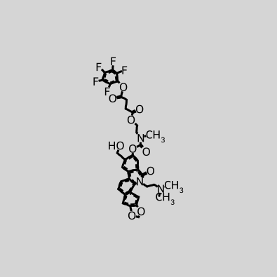 CN(C)CCn1c(=O)c2cc(OC(=O)N(C)CCOC(=O)CCC(=O)Oc3c(F)c(F)c(F)c(F)c3F)c(CO)cc2c2ccc3cc4c(cc3c21)OCO4